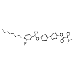 CCCCCCCCc1ccc(C(=O)Oc2ccc(-c3ccc(OC(=O)C(Cl)C(C)C)cc3)cc2)cc1F